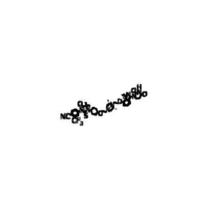 C[C@@H]1CN(CCO[C@H]2CC[C@H](N3C(=S)N(c4ccc(C#N)c(C(F)(F)F)c4)C(=O)C3(C)C)CC2)C[C@H](C)N1CCOc1cccc2c(N3CCC(=O)NC3=O)nn(C)c12